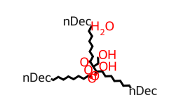 CCCCCCCCCCCCCCCCCC(=O)OC(C(=O)CCCCCCCCCCCCCCCCC)(C(=O)CCCCCCCCCCCCCCCCC)C(O)CO.O